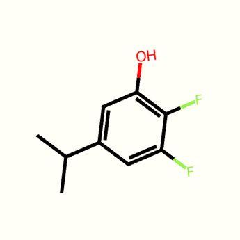 CC(C)c1cc(O)c(F)c(F)c1